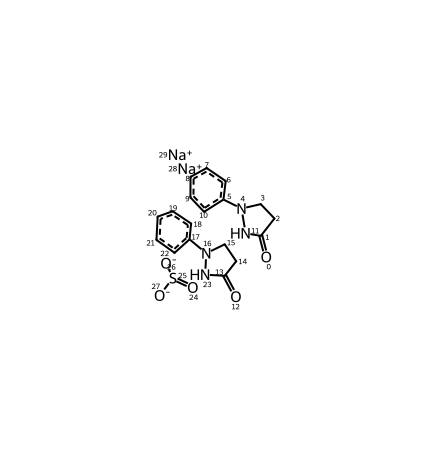 O=C1CCN(c2ccccc2)N1.O=C1CCN(c2ccccc2)N1.O=S([O-])[O-].[Na+].[Na+]